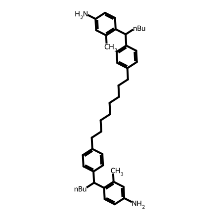 CCCCC(c1ccc(CCCCCCCCc2ccc(C(CCCC)c3ccc(N)cc3C)cc2)cc1)c1ccc(N)cc1C